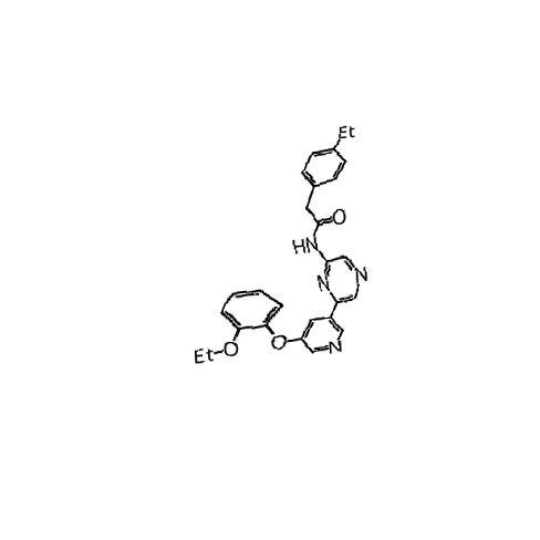 CCOc1ccccc1Oc1cncc(-c2cncc(NC(=O)Cc3ccc(CC)cc3)n2)c1